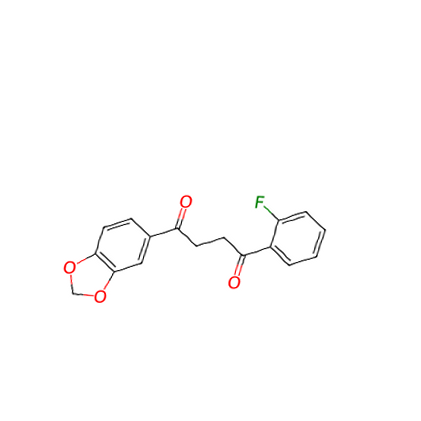 O=C(CCC(=O)c1ccccc1F)c1ccc2c(c1)OCO2